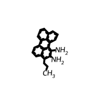 CCCc1c(N)c(N)c2c3cccc4cccc(c5cccc1c52)c43